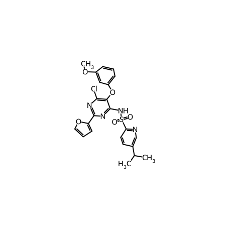 COc1cccc(Oc2c(Cl)nc(-c3ccco3)nc2NS(=O)(=O)c2ccc(C(C)C)cn2)c1